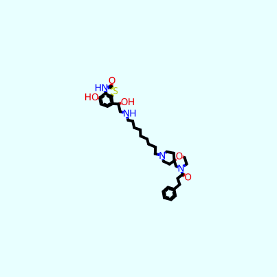 O=C(CCc1ccccc1)N1CCOC2(CCN(CCCCCCCCCNCC(O)c3ccc(O)c4[nH]c(=O)sc34)CC2)C1